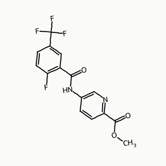 COC(=O)c1ccc(NC(=O)c2cc(C(F)(F)F)ccc2F)cn1